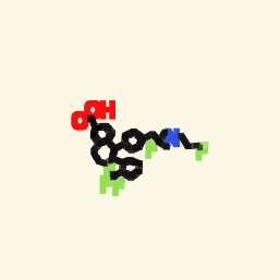 O=C(O)c1ccc2c(c1)CCCC(c1ccccc1C(F)(F)F)=C2c1ccc(CC2(F)CN(CCCF)C2)cc1